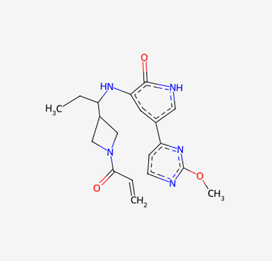 C=CC(=O)N1CC(C(CC)Nc2cc(-c3ccnc(OC)n3)c[nH]c2=O)C1